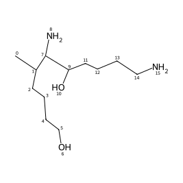 CC(CCCCO)C(N)C(O)CCCCN